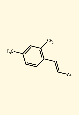 CC(=O)C=Cc1ccc(C(F)(F)F)cc1C(F)(F)F